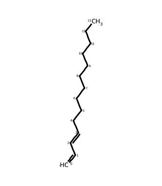 [CH]=C/C=C/CCCCCCCCCC